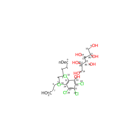 CCCCCCCCCCCCCCCCCC(=O)O.OC[C@@H](O)[C@@H](O)[C@H](O)[C@H](O)CO.Oc1c(Cl)c(Cl)c(Cl)c(Cl)c1Cl